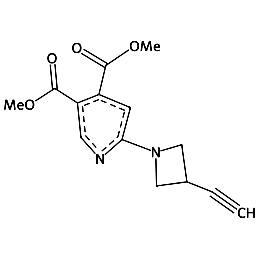 C#CC1CN(c2cc(C(=O)OC)c(C(=O)OC)cn2)C1